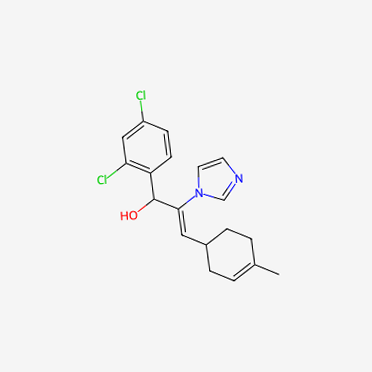 CC1=CCC(C=C(C(O)c2ccc(Cl)cc2Cl)n2ccnc2)CC1